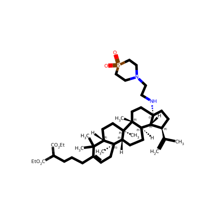 C=C(C)[C@@H]1CC[C@]2(NCCN3CCS(=O)(=O)CC3)CC[C@]3(C)[C@H](CC[C@@H]4[C@@]5(C)CC=C(CCCC(C(=O)OCC)C(=O)OCC)C(C)(C)[C@@H]5CC[C@]43C)[C@@H]12